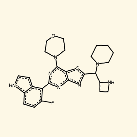 Fc1ccc2[nH]ccc2c1-c1nc(N2CCOCC2)c2sc(C(C3CCN3)N3CCCCC3)nc2n1